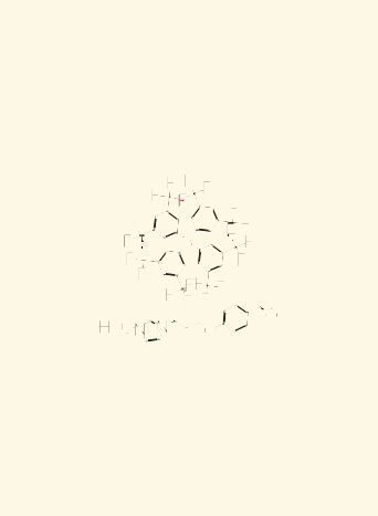 Cn1cc[n+](CCCOc2ccc(C=O)cc2)c1.FC(F)(F)c1cc([B-](c2cc(C(F)(F)F)cc(C(F)(F)F)c2)(c2cc(C(F)(F)F)cc(C(F)(F)F)c2)c2cc(C(F)(F)F)cc(C(F)(F)F)c2)cc(C(F)(F)F)c1